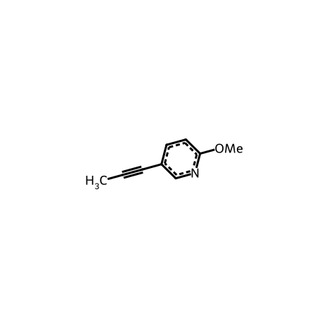 CC#Cc1ccc(OC)nc1